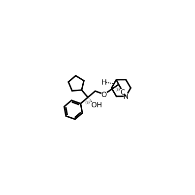 O[C@](CO[C@@H]1CN2CCC1CC2)(c1ccccc1)C1CCCC1